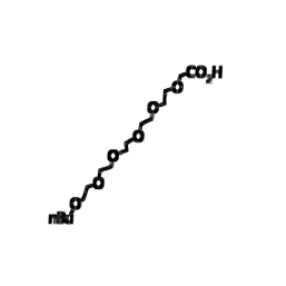 CCCCOCCOCCOCCOCCOCCOCC(=O)O